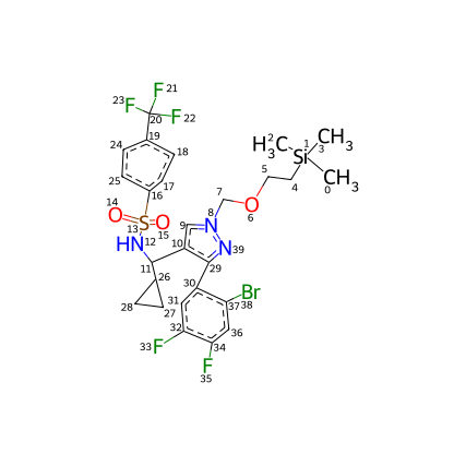 C[Si](C)(C)CCOCn1cc(C(NS(=O)(=O)c2ccc(C(F)(F)F)cc2)C2CC2)c(-c2cc(F)c(F)cc2Br)n1